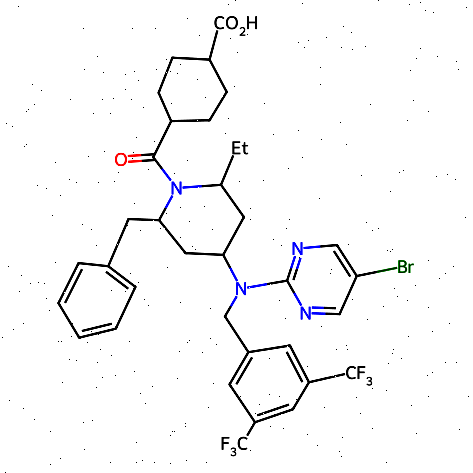 CCC1CC(N(Cc2cc(C(F)(F)F)cc(C(F)(F)F)c2)c2ncc(Br)cn2)CC(Cc2ccccc2)N1C(=O)C1CCC(C(=O)O)CC1